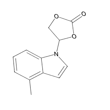 Cc1cccc2c1ccn2C1COC(=O)O1